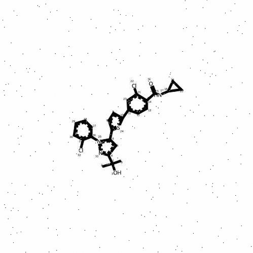 CC(C)(O)c1cc(-c2ccc(-c3ccc(C(=O)NC4CC4)c(Cl)c3)s2)n(-c2ccccc2Cl)n1